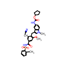 CC#N.COc1cc(C(=O)NS(=O)(=O)c2ccccc2C)ccc1Cc1cn(C)c2ccc(NC(=O)OC3CCCC3)cc12